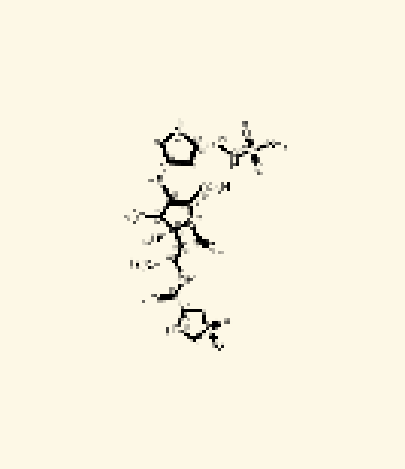 C[C@@H](NC(=O)[C@@H]1CS(=O)(=O)CN1)[C@H]1C(=O)N2C(C(=O)O)=C(S[C@@H]3CN[C@H](CNS(N)(=O)=O)C3)[C@H](C)[C@H]12